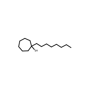 CCCCCCCCC1(S)CCCCCC1